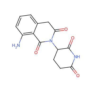 Nc1cccc2c1C(=O)N(C1CCC(=O)NC1=O)C(=O)C2